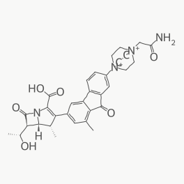 Cc1cc(C2=C(C(=O)O)N3C(=O)[C@H]([C@@H](C)O)[C@H]3[C@H]2C)cc2c1C(=O)c1cc([N+]34CC[N+](CC(N)=O)(CC3)CC4)ccc1-2